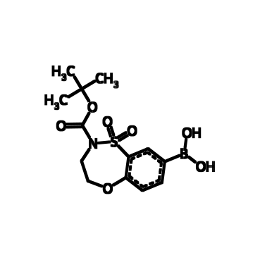 CC(C)(C)OC(=O)N1CCOc2ccc(B(O)O)cc2S1(=O)=O